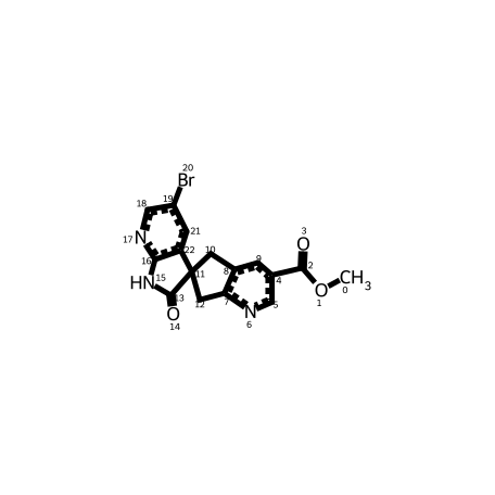 COC(=O)c1cnc2c(c1)CC1(C2)C(=O)Nc2ncc(Br)cc21